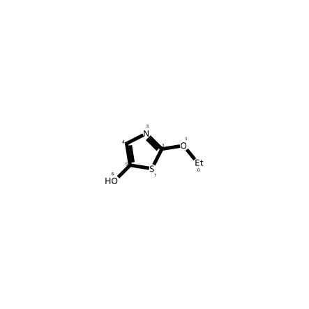 CCOc1ncc(O)s1